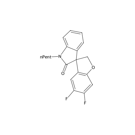 CCCCCN1C(=O)C2(COc3cc(F)c(F)cc32)c2ccccc21